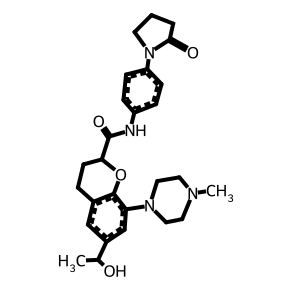 CC(O)c1cc2c(c(N3CCN(C)CC3)c1)OC(C(=O)Nc1ccc(N3CCCC3=O)cc1)CC2